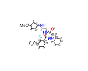 COc1ccc(NCCNC(=O)C(CC2CCCCC2)NC(=O)c2cccc(C(F)(F)F)c2F)cc1